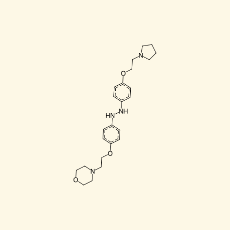 c1cc(OCCN2CCCC2)ccc1NNc1ccc(OCCN2CCOCC2)cc1